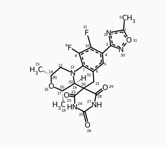 Cc1nc(-c2cc3c(c(F)c2F)N2C[C@@H](C)O[C@@H](C)[C@@H]2C2(C3)C(=O)NC(=O)NC2=O)no1